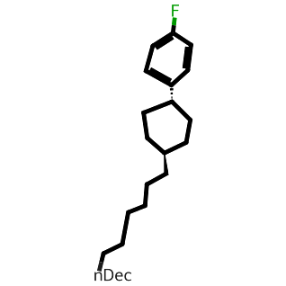 CCCCCCCCCCCCCCCC[C@H]1CC[C@H](c2ccc(F)cc2)CC1